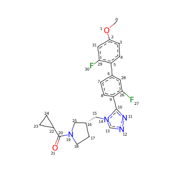 COc1ccc(-c2ccc(-c3nncn3C[C@@H]3CCN(C(=O)C4CC4)C3)c(F)c2)c(F)c1